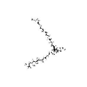 [CH2]C(O)(CCCCCCCCCCCCCC)CCCCCCCCCCCCCCCC